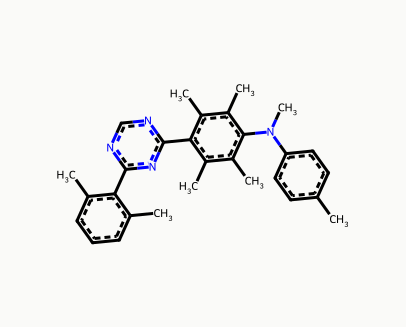 Cc1ccc(N(C)c2c(C)c(C)c(-c3ncnc(-c4c(C)cccc4C)n3)c(C)c2C)cc1